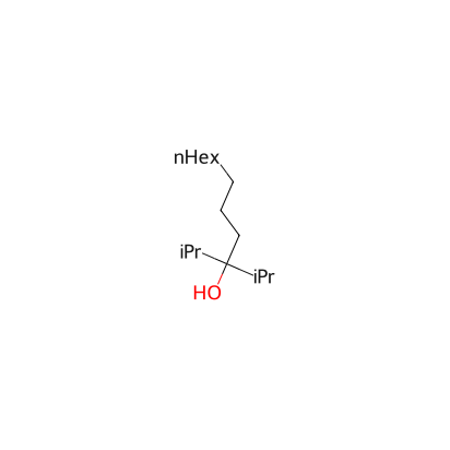 CCCCCCCCCC(O)(C(C)C)C(C)C